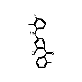 Cc1ccccc1C(=S)c1ccc(Nc2cccc(F)c2C)cc1Cl